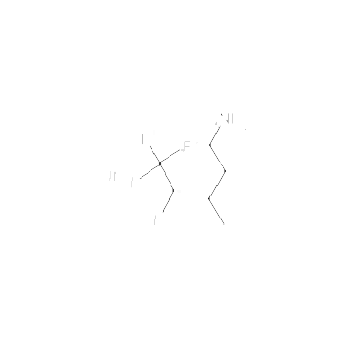 CCCCN.FCC(F)(F)F.I